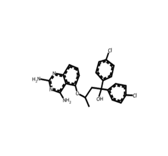 CC(CC(O)(c1ccc(Cl)cc1)c1ccc(Cl)cc1)Oc1cccc2nc(N)nc(N)c12